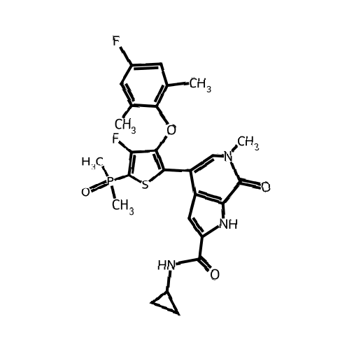 Cc1cc(F)cc(C)c1Oc1c(-c2cn(C)c(=O)c3[nH]c(C(=O)NC4CC4)cc23)sc(P(C)(C)=O)c1F